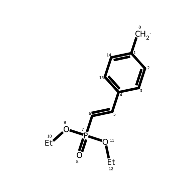 [CH2]c1ccc(C=CP(=O)(OCC)OCC)cc1